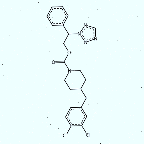 O=C(OCC(c1ccccc1)n1ncnn1)N1CCC(Cc2ccc(Cl)c(Cl)c2)CC1